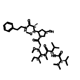 CC[C@H](C)[C@@H]([C@@H](CC(=O)N1C[C@H](O)CC1[C@H](OC)[C@@H](C)C(=O)NCCc1ccccc1)OC)N(C)C(=O)[C@@H](NC(=O)[C@H](C(C)C)N(C)C)C(C)C